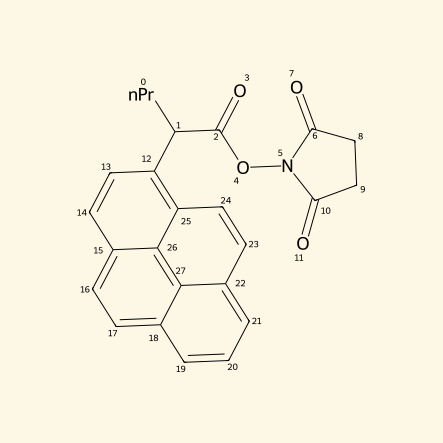 CCCC(C(=O)ON1C(=O)CCC1=O)c1ccc2ccc3cccc4ccc1c2c34